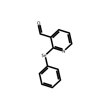 O=Cc1cccnc1[Se]c1ccccc1